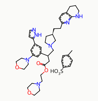 Cc1ccc(S(=O)(=O)O)cc1.O=C(CC(CN1CC[C@@H](CCc2ccc3c(n2)NCCC3)C1)c1cc(-c2ccn[nH]2)cc(N2CCOCC2)c1)OCCN1CCOCC1